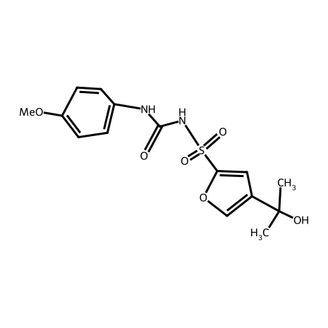 COc1ccc(NC(=O)NS(=O)(=O)c2cc(C(C)(C)O)co2)cc1